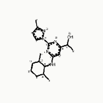 Cc1ccn(-c2nc(NC3C(C)CCCC3C)cc(C(C)O)n2)n1